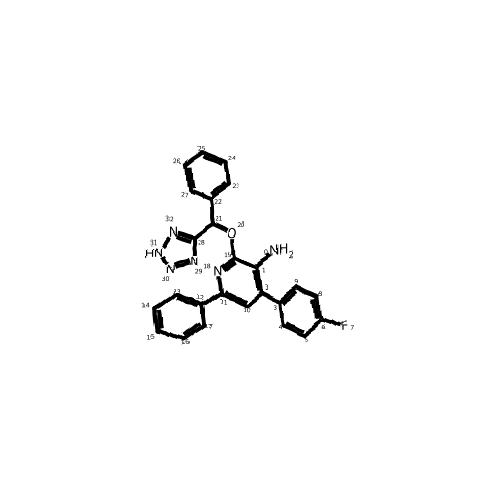 Nc1c(-c2ccc(F)cc2)cc(-c2ccccc2)nc1OC(c1ccccc1)c1nn[nH]n1